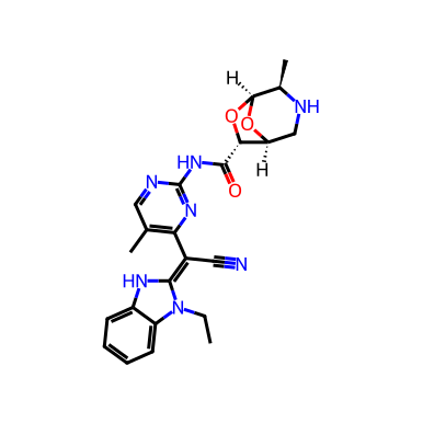 CCN1/C(=C(\C#N)c2nc(NC(=O)[C@@H]3O[C@@H]4O[C@H]3CN[C@@H]4C)ncc2C)Nc2ccccc21